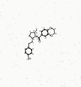 CC(C)c1ccc(CC[C@H]2CC[C@@H](C)N2C(=O)c2ccc3c(c2)OCCO3)cc1